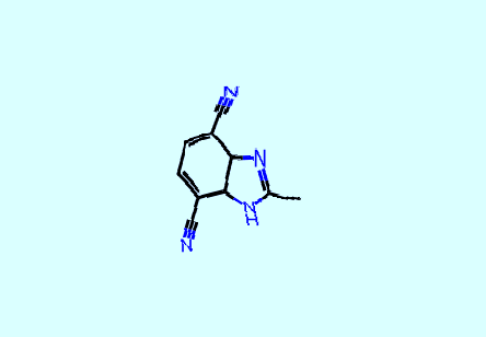 CC1=NC2C(C#N)=CC=C(C#N)C2N1